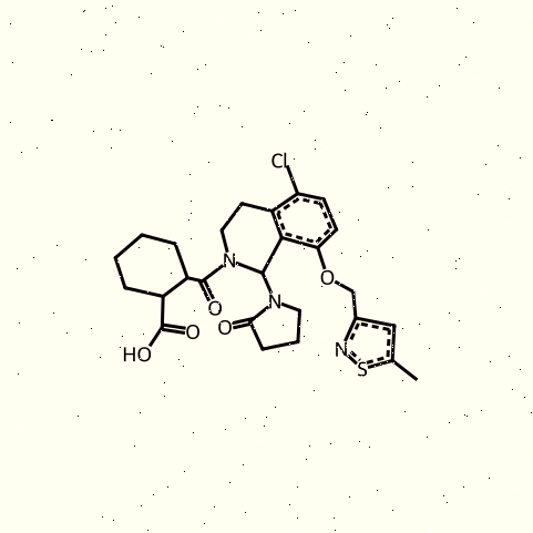 Cc1cc(COc2ccc(Cl)c3c2C(N2CCCC2=O)N(C(=O)C2CCCCC2C(=O)O)CC3)ns1